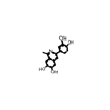 Cc1nc(-c2ccc(O)c(O)c2)cc2cc(O)c(O)cc12